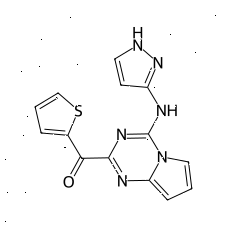 O=C(c1nc(Nc2cc[nH]n2)n2cccc2n1)c1cccs1